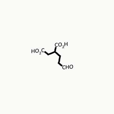 O=CCCC(CC(=O)O)C(=O)O